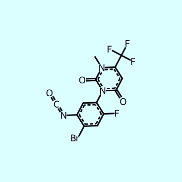 Cn1c(C(F)(F)F)cc(=O)n(-c2cc(N=C=O)c(Br)cc2F)c1=O